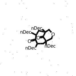 CCCCCCCCCCC1CC2(CCCCCCCCCC)COCC(CCCCCCCCCC)(CC(CCCCCCCCCC)C1=O)C2=O